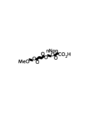 CCCCCCCCCC(C(=O)O)C(=O)OCCOC(=O)/C=C/C(=O)OCCOC